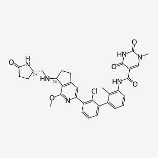 COc1nc(-c2cccc(-c3cccc(NC(=O)c4cn(C)c(=O)[nH]c4=O)c3C)c2Cl)cc2c1[C@@H](NC[C@@H]1CCC(=O)N1)CC2